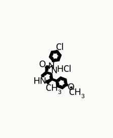 COc1ccc(-c2c3nn(-c4ccc(Cl)cc4)c(=O)c-3c[nH]c2C)cc1.Cl